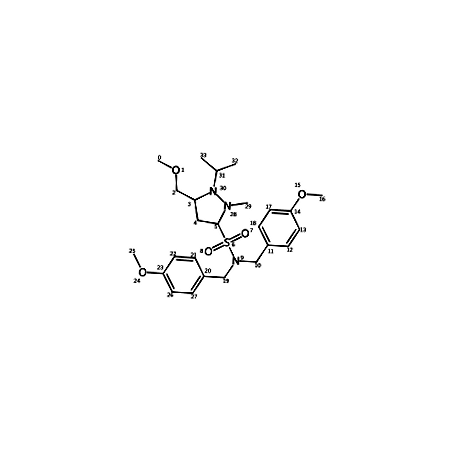 COCC1CC(S(=O)(=O)N(Cc2ccc(OC)cc2)Cc2ccc(OC)cc2)N(C)N1C(C)C